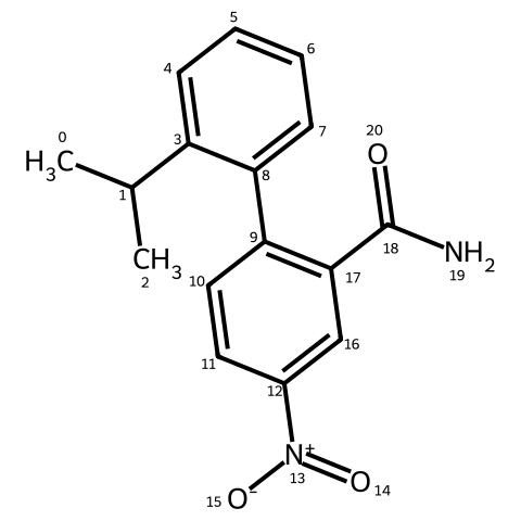 CC(C)c1ccccc1-c1ccc([N+](=O)[O-])cc1C(N)=O